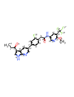 CCC(=O)c1c[nH]c2ncc(-c3ccc(CC(=O)Nc4cnc(OC)c(C(F)(F)F)c4)c(F)c3)cc12